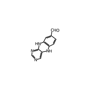 O=Cc1ccc2c(c1)Nc1ncncc1N2